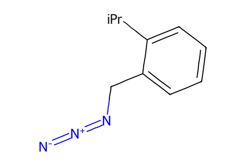 CC(C)c1ccccc1CN=[N+]=[N-]